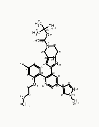 COCCOc1cc(F)ccc1-c1ncc(-c2cnn(C)c2)cc1-c1cc2n(n1)CCN(C(=O)OC(C)(C)C)C2